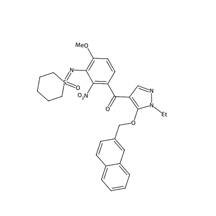 CCn1ncc(C(=O)c2ccc(OC)c(N=S3(=O)CCCCC3)c2[N+](=O)[O-])c1OCc1ccc2ccccc2c1